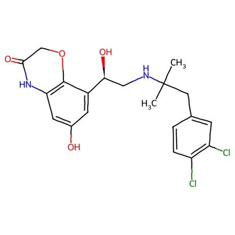 CC(C)(Cc1ccc(Cl)c(Cl)c1)NC[C@H](O)c1cc(O)cc2c1OCC(=O)N2